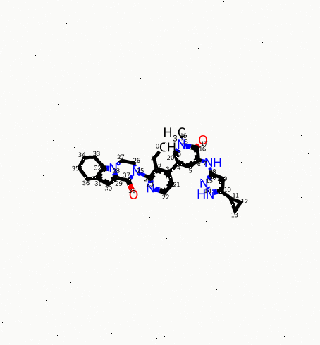 CCc1c(-c2cc(Nc3cc(C4CC4)[nH]n3)c(=O)n(C)c2)ccnc1N1CCn2c(cc3c2CCCC3)C1=O